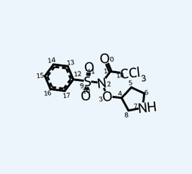 O=C(N(OC1CCNC1)S(=O)(=O)c1ccccc1)C(Cl)(Cl)Cl